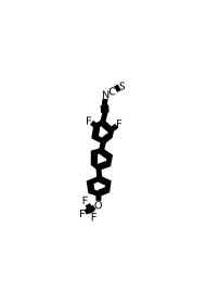 Fc1cc(-c2ccc(-c3ccc(OC(F)(F)F)cc3)cc2)cc(F)c1C#CN=C=S